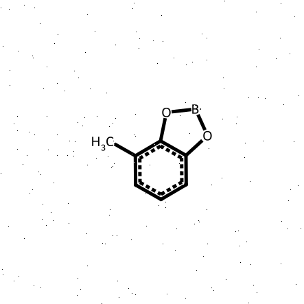 Cc1cccc2c1O[B]O2